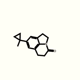 CC1(c2cc3c4c(c2)CCN4C(=O)CC3)CC1